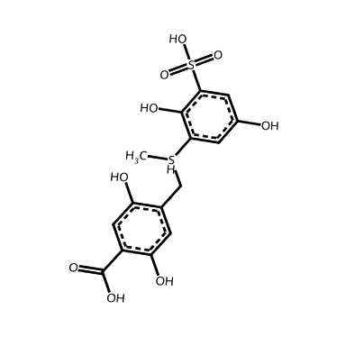 C[SH](Cc1cc(O)c(C(=O)O)cc1O)c1cc(O)cc(S(=O)(=O)O)c1O